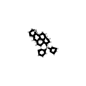 c1ccc(N(c2ccccc2)c2ccc3ccc4c5ncccc5cc5ccc2c3c54)cc1